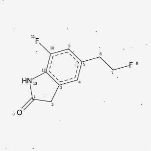 O=C1Cc2cc(CCF)cc(F)c2N1